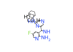 N=C(c1cncc(NC2C3CCC(CC3)[C@H]2C(=O)O)n1)c1cc(F)cnc1N